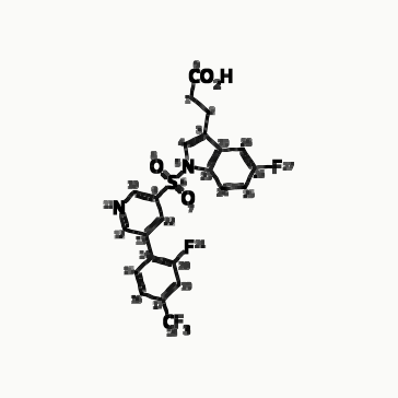 O=C(O)CCc1cn(S(=O)(=O)c2cncc(-c3ccc(C(F)(F)F)cc3F)c2)c2ccc(F)cc12